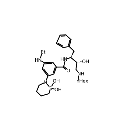 CCCCCCNC[C@@H](O)[C@H](Cc1ccccc1)NC(=O)c1cc(NCC)cc(N2CCCCS2(O)O)c1